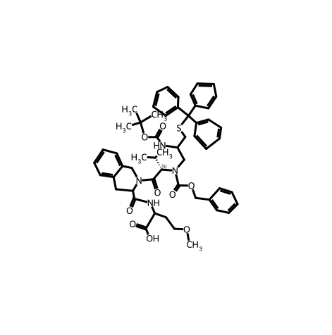 COCCC(NC(=O)C1Cc2ccccc2CN1C(=O)[C@H](C(C)C)N(CC(CSC(c1ccccc1)(c1ccccc1)c1ccccc1)NC(=O)OC(C)(C)C)C(=O)OCc1ccccc1)C(=O)O